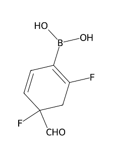 O=CC1(F)C=CC(B(O)O)=C(F)C1